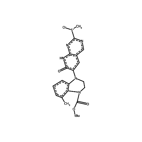 Cc1cccc2c1N(C(=O)OC(C)(C)C)CCN2c1cc2cnc([S+](C)[O-])nc2[nH]c1=O